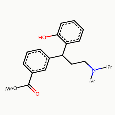 COC(=O)c1cccc(C(CCN(C(C)C)C(C)C)c2ccccc2O)c1